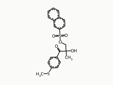 CSc1ccc(C(=O)C(C)(O)COS(=O)(=O)c2ccc3ccccc3c2)cc1